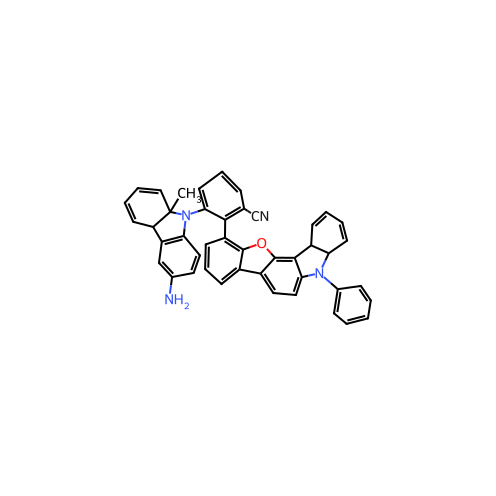 CC12C=CC=CC1c1cc(N)ccc1N2c1cccc(C#N)c1-c1cccc2c1oc1c3c(ccc12)N(c1ccccc1)C1C=CC=CC31